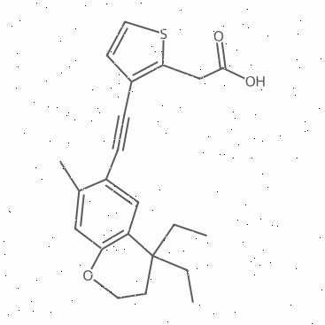 CCC1(CC)CCOc2cc(C)c(C#Cc3ccsc3CC(=O)O)cc21